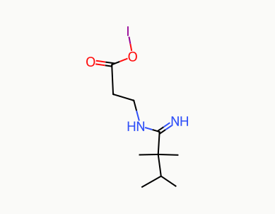 CC(C)C(C)(C)C(=N)NCCC(=O)OI